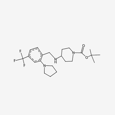 CC(C)(C)OC(=O)N1CCC(NCc2ccc(C(F)(F)F)cc2N2CCCC2)CC1